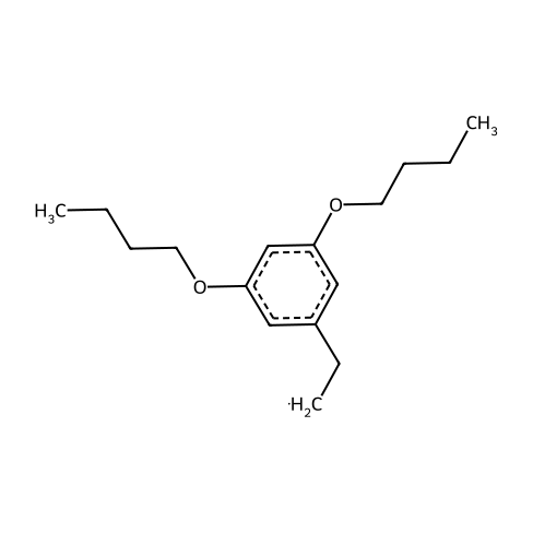 [CH2]Cc1cc(OCCCC)cc(OCCCC)c1